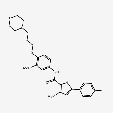 CNc1cc(-c2ccc(Cl)cc2)sc1C(=O)Nc1ccc(OCCCN2CCOCC2)c(OC)c1